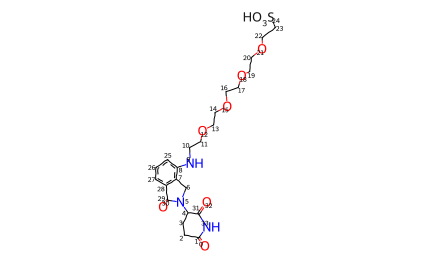 O=C1CCC(N2Cc3c(NCCOCCOCCOCCOCCS(=O)(=O)O)cccc3C2=O)C(=O)N1